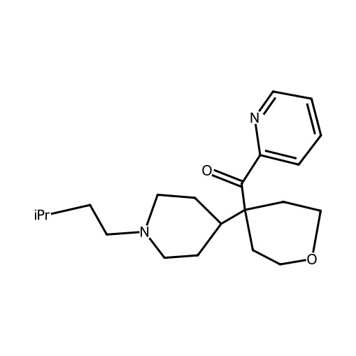 CC(C)CCN1CCC(C2(C(=O)c3ccccn3)CCOCC2)CC1